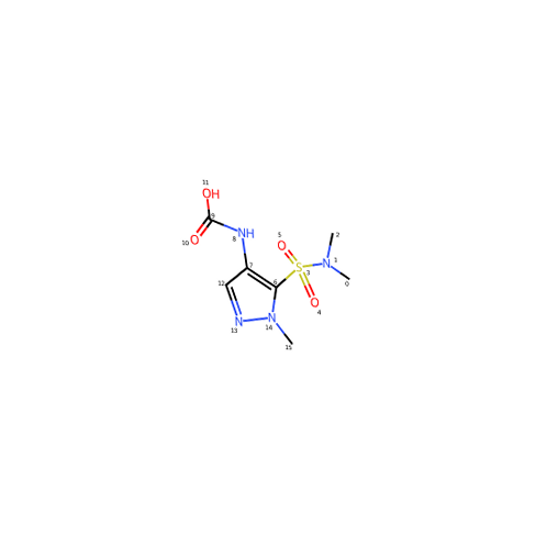 CN(C)S(=O)(=O)c1c(NC(=O)O)cnn1C